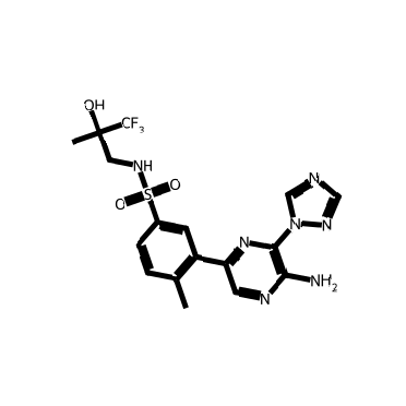 Cc1ccc(S(=O)(=O)NCC(C)(O)C(F)(F)F)cc1-c1cnc(N)c(-n2cncn2)n1